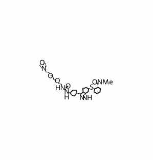 CNC(=O)c1ccccc1Sc1ccc2c(-c3ccc(NC(=O)NCCOCCOCCN4CCOCC4)cc3)n[nH]c2c1